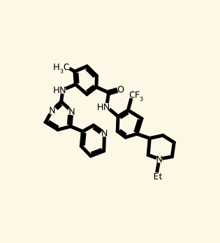 CCN1CCCC(c2ccc(NC(=O)c3ccc(C)c(Nc4nccc(-c5cccnc5)n4)c3)c(C(F)(F)F)c2)C1